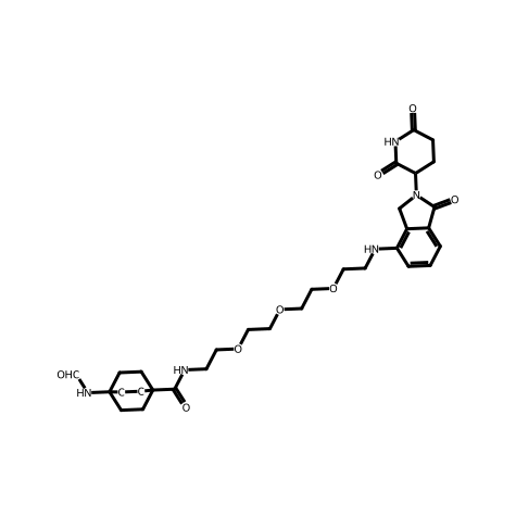 O=CNC12CCC(C(=O)NCCOCCOCCOCCNc3cccc4c3CN(C3CCC(=O)NC3=O)C4=O)(CC1)CC2